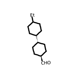 CCC1CCC([C@H]2CC[C@H](C=O)CC2)CC1